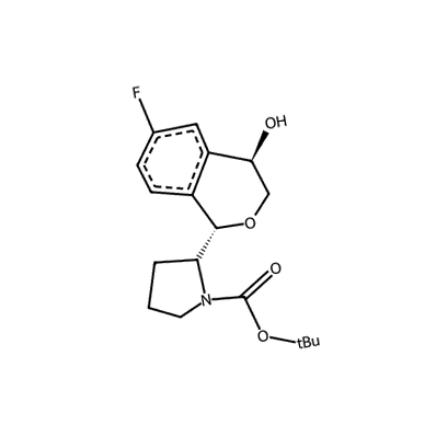 CC(C)(C)OC(=O)N1CCCC1[C@H]1OC[C@H](O)c2cc(F)ccc21